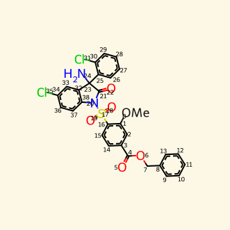 COc1cc(C(=O)OCc2ccccc2)ccc1S(=O)(=O)N1C(=O)C(N)(c2ccccc2Cl)c2cc(Cl)ccc21